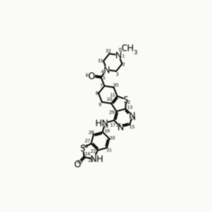 CN1CCN(C(=O)C2CCc3c(sc4ncnc(Nc5ccc6[nH]c(=O)sc6c5)c34)C2)CC1